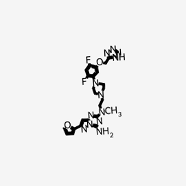 CN(CCN1CCN(c2cc(OCc3nnn[nH]3)c(F)cc2F)CC1)c1nc(N)n2nc(-c3ccco3)cc2n1